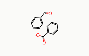 O=[C]c1ccccc1.[O]C(=O)c1ccccc1